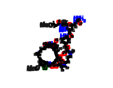 COCCC(=O)N[C@H](C(=O)N[C@@H](CCCNC(N)=O)C(=O)Nc1ccc(COC(=O)N(C)CCCC(=O)N(C)[C@@H](C)C(=O)O[C@H]2CC(=O)N(C)c3cc(cc(OC)c3Cl)C/C(C)=C/C=C/[C@@H](O)[C@@]3(O)C[C@H](OC(=O)N3)[C@@H](C)C3O[C@]32C)cc1)C(C)C